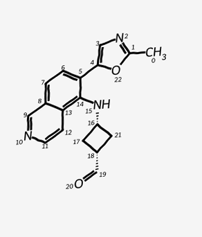 Cc1ncc(-c2ccc3cnccc3c2N[C@H]2C[C@@H](C=O)C2)o1